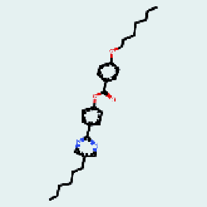 CCCCCCCOc1ccc(C(=O)Oc2ccc(-c3ncc(CCCCCC)cn3)cc2)cc1